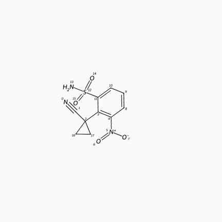 N#CC1(c2c([N+](=O)[O-])cccc2S(N)(=O)=O)CC1